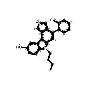 CCCCn1c2ccc(O)cc2c2c3c[nH]cc3c(-c3ccccc3Cl)cc21